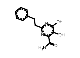 NC(=O)c1nc(CCc2ccccc2)nc(O)c1O